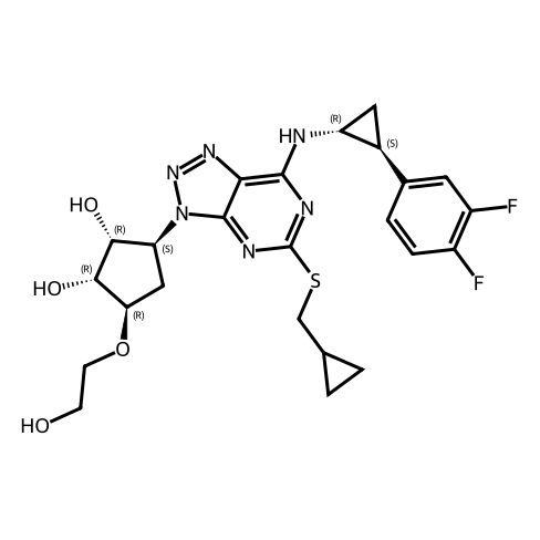 OCCO[C@@H]1C[C@H](n2nnc3c(N[C@@H]4C[C@H]4c4ccc(F)c(F)c4)nc(SCC4CC4)nc32)[C@@H](O)[C@H]1O